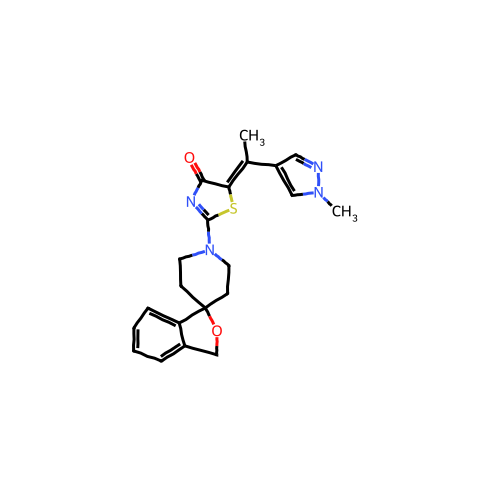 C/C(=C1/SC(N2CCC3(CC2)OCc2ccccc23)=NC1=O)c1cnn(C)c1